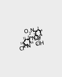 Cl.O=[N+]([O-])c1ccc[n+]2c1N(Cc1ccc(Cl)nc1)CC2